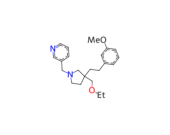 CCOCC1(CCc2cccc(OC)c2)CCN(Cc2cccnc2)C1